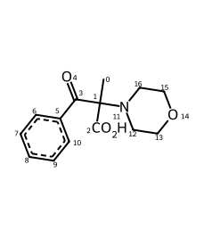 CC(C(=O)O)(C(=O)c1ccccc1)N1CCOCC1